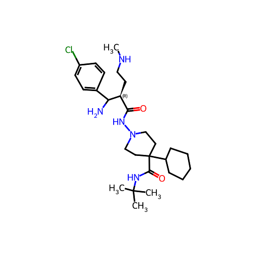 CNCC[C@@H](C(=O)NN1CCC(C(=O)NC(C)(C)C)(C2CCCCC2)CC1)C(N)c1ccc(Cl)cc1